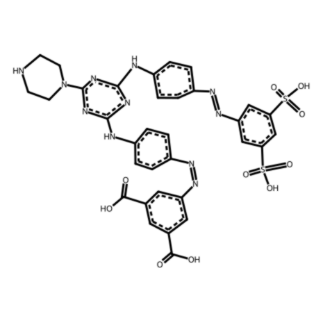 O=C(O)c1cc(N=Nc2ccc(Nc3nc(Nc4ccc(N=Nc5cc(S(=O)(=O)O)cc(S(=O)(=O)O)c5)cc4)nc(N4CCNCC4)n3)cc2)cc(C(=O)O)c1